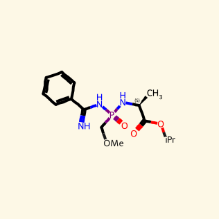 COCP(=O)(NC(=N)c1ccccc1)N[C@@H](C)C(=O)OC(C)C